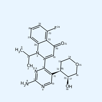 CC(C)n1c(-c2nc(N)ncc2[C@H]2CCOC[C@H]2O)cc(=O)c2c(F)cccc21